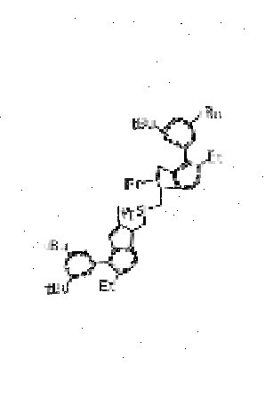 CCc1ccc2c(c1-c1cc(C(C)(C)C)cc(C(C)(C)C)c1)C=C(C(C)C)C2C[SiH2]CC1C(C(C)C)=Cc2c1ccc(CC)c2-c1cc(C(C)(C)C)cc(C(C)(C)C)c1